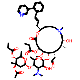 CCC(=O)O[C@@H]1CC(=O)O[C@@H](C/C=C/c2ccccc2-c2cccnc2)CCCN(C)C[C@H](O)[C@H](C)C[C@H](CC=O)[C@H](O[C@@H]2OC(C)[C@@H](O[C@H]3CC(C)(OC(C)=O)[C@@H](OC(=O)CC)C(C)O3)C(N(C)C)C2O)[C@H]1OC